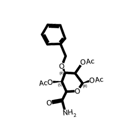 CC(=O)OC1[C@@H](OC(C)=O)OC(C(N)=O)[C@@H](OC(C)=O)[C@H]1OCc1ccccc1